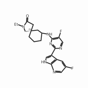 CCN1C[C@]2(CCCC(Nc3nc(-c4c[nH]c5ncc(F)cc45)ncc3F)C2)CC1=O